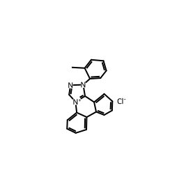 Cc1ccccc1-n1nc[n+]2c3ccccc3c3ccccc3c12.[Cl-]